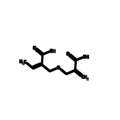 C=C(COC/C(=C/C)C(=O)O)C(=O)O